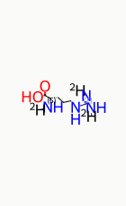 [2H]/N=C(/N[2H])NCCC[C@H](N[2H])C(=O)O